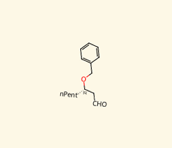 CCCCC[C@@H](CC=O)OCc1ccccc1